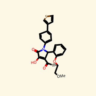 COCCOc1ccccc1C1C(C(=O)C(C)(C)C)=C(O)C(=O)N1c1ccc(-c2ccsc2)cc1